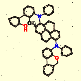 Cc1c(-c2ccccc2O)cccc1N(c1ccccc1)c1ccc2ccc3c(N(c4ccccc4)c4cccc5c4OCc4ccccc4-5)ccc4ccc1c2c43